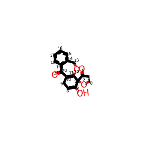 COC1(C(C)=O)C(O)=CCC2=C1OCc1ccccc1C2=O